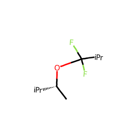 CC(C)[C@@H](C)OC(F)(F)C(C)C